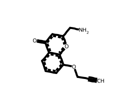 C#CCOc1cccc2c(=O)cc(CN)oc12